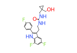 O=C(NCCc1c(-c2ccc(F)cc2)[nH]c2c(F)cc(F)cc12)NCC1(CO)CC1